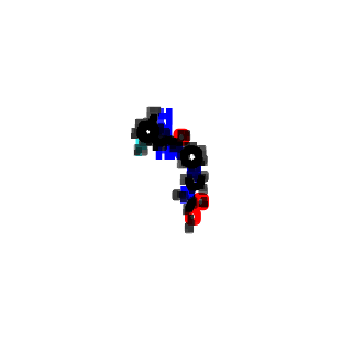 COCC(=O)N(C)[C@@H]1CCN(C2CCC[C@@H](NC(=O)C3Cc4c(F)ccc(C)c4N3)C2)C1